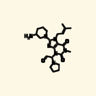 CC(C)=CCn1c(N2CCCC(N)C2)nc2c1c(=O)n(C)c(=O)n2C(C=O)N1CCCC1